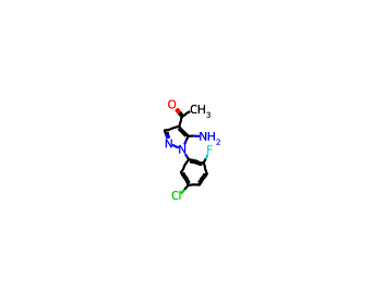 CC(=O)c1cnn(-c2cc(Cl)ccc2F)c1N